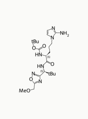 COCc1nc([C@@H](NC(=O)[C@H](CCCn2ccnc2N)NC(=O)OC(C)(C)C)C(C)(C)C)no1